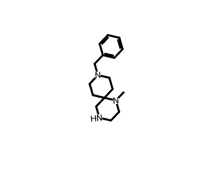 CN1CCNCC12CCN(Cc1ccccc1)CC2